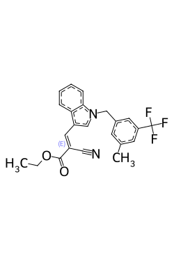 CCOC(=O)/C(C#N)=C/c1cn(Cc2cc(C)cc(C(F)(F)F)c2)c2ccccc12